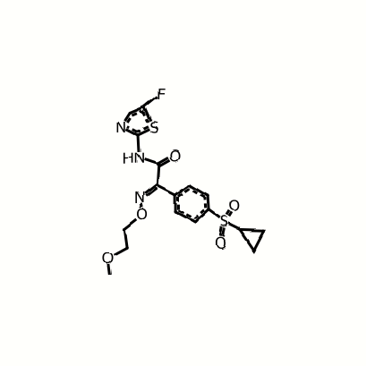 COCCO/N=C(/C(=O)Nc1ncc(F)s1)c1ccc(S(=O)(=O)C2CC2)cc1